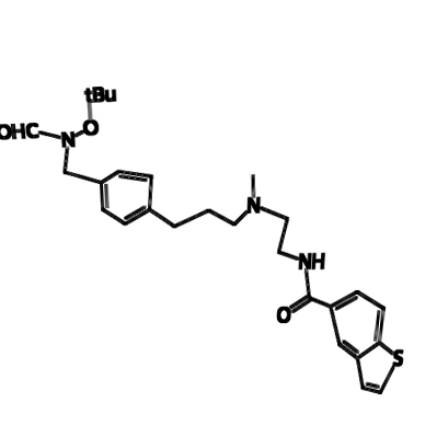 CN(CCCc1ccc(CN(C=O)OC(C)(C)C)cc1)CCNC(=O)c1ccc2sccc2c1